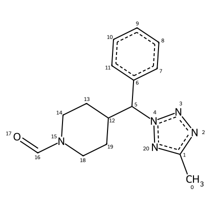 Cc1nnn(C(c2ccccc2)C2CCN(C=O)CC2)n1